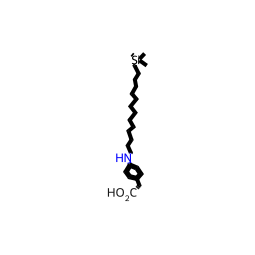 C[Si](C)(C)CCCCCCCCCCCCCCNc1ccc(CC(=O)O)cc1